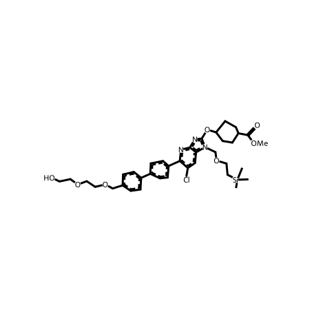 COC(=O)C1CCC(Oc2nc3nc(-c4ccc(-c5ccc(COCCOCCO)cc5)cc4)c(Cl)cc3n2COCC[Si](C)(C)C)CC1